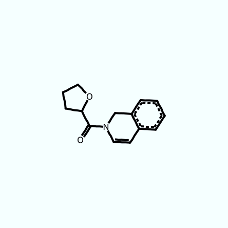 O=C(C1CCCO1)N1C=Cc2ccccc2C1